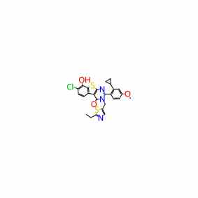 CCc1ncc(Cn2c(-c3ccc(OC)cc3C3CC3)nc3sc4c(O)c(Cl)ccc4c3c2=O)s1